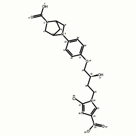 O=C(O)N1CC2CC1CN2c1ccc(OC[C@@H](O)CCn2cc([N+](=O)[O-])nc2Cl)cc1